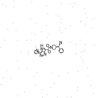 N#CC(=C1CCN(C(=O)C(=O)c2c[nH]c3c(-n4cccn4)ncnc23)CC1)c1ccccc1